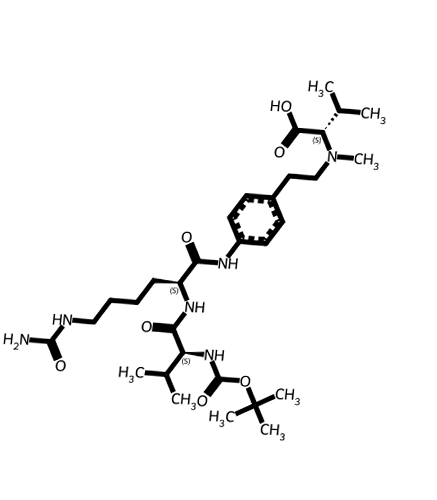 CC(C)[C@H](NC(=O)OC(C)(C)C)C(=O)N[C@@H](CCCCNC(N)=O)C(=O)Nc1ccc(CCN(C)[C@H](C(=O)O)C(C)C)cc1